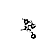 COc1ncccc1Cn1c(COCc2ccccc2)nc(C(C)C)c1Sc1cc(Cl)cc(Cl)c1